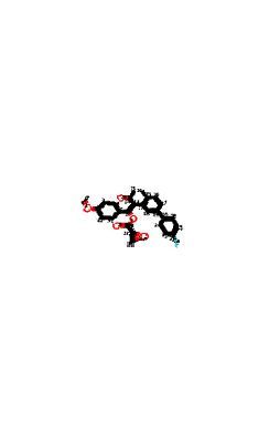 COC1CCC(/C(OC(=O)C2CO2)=C(\C(C)=O)c2cc(-c3ccc(F)cc3)ccc2C)CC1